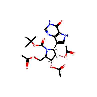 CC(=O)OCC1[C@@H](OC(C)=O)[C@@H](OC(C)=O)[C@H](c2c[nH]c3c(=O)[nH]cnc23)N1C(=O)OC(C)(C)C